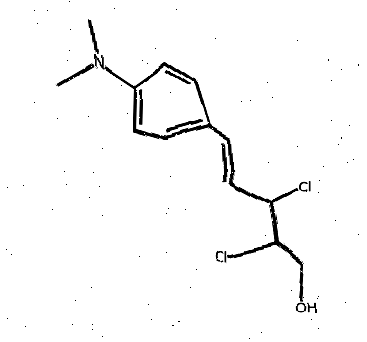 CN(C)c1ccc(C=CC(Cl)C(Cl)CO)cc1